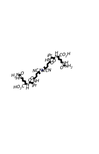 CC(C)[C@H](NC(=O)CCC(C)(C#N)/N=N/C(C)(C#N)CCC(=O)N[C@H](C(=O)N[C@@H](CCCNC(N)=O)C(=O)O)C(C)C)C(=O)N[C@@H](CCCNC(N)=O)C(=O)O